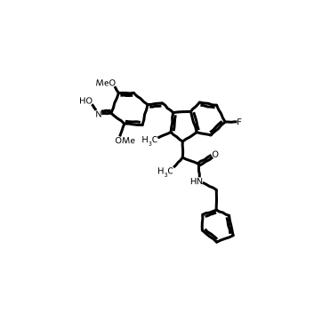 COC1=CC(=CC2=C(C)C(C(C)C(=O)NCc3ccccc3)c3cc(F)ccc32)C=C(OC)C1=NO